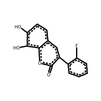 O=c1oc2c(O)c(O)ccc2cc1-c1ccccc1F